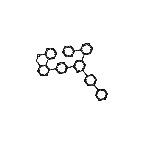 c1ccc(-c2ccc(-c3cc(-c4ccccc4-c4ccccc4)cc(-c4ccc(-c5cccc6c5-c5ccccc5OC6)cc4)n3)cc2)cc1